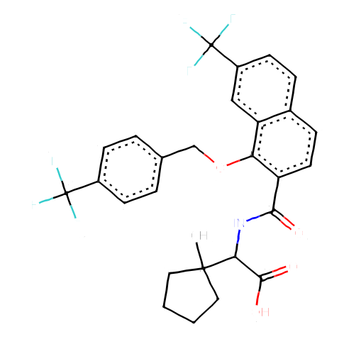 CC1(C(NC(=O)c2ccc3ccc(C(F)(F)F)cc3c2OCc2ccc(C(F)(F)F)cc2)C(=O)O)CCCC1